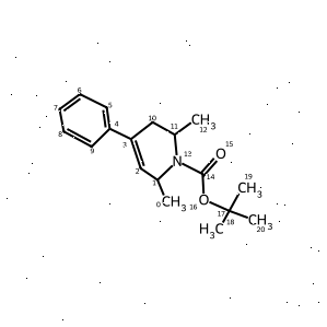 CC1C=C(c2ccccc2)CC(C)N1C(=O)OC(C)(C)C